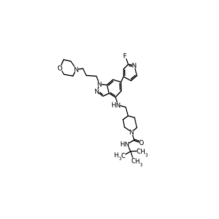 CC(C)(C)NC(=O)N1CCC(CNc2cc(-c3ccnc(F)c3)cc3c2cnn3CCCN2CCOCC2)CC1